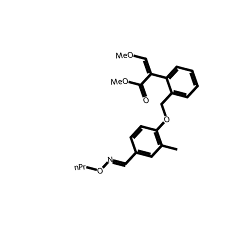 CCCO/N=C/c1ccc(OCc2ccccc2/C(=C/OC)C(=O)OC)c(C)c1